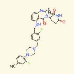 Cc1nc2cccc(NCc3ccc(CN4CCN(c5ccc(C#N)cc5F)CC4)cc3F)c2c(=O)n1C1CCC(=O)NC1=O